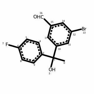 CC(O)(c1ccc(F)cc1)c1cc(Br)cc(C=O)c1